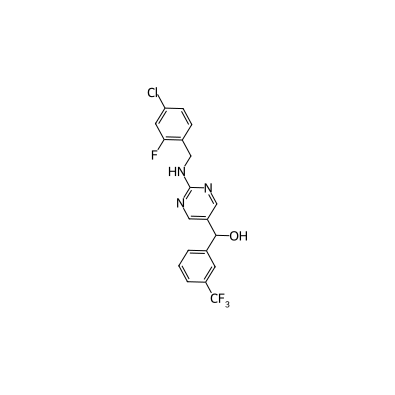 OC(c1cnc(NCc2ccc(Cl)cc2F)nc1)c1cccc(C(F)(F)F)c1